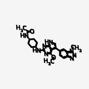 COc1nc(N[C@H]2CC[C@H](NC(C)=O)CC2)nc2[nH]cc(-c3ccc4nnn(C)c4c3)c12